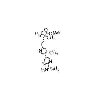 COC(=O)C(C)(C)CCCc1cc(C)c(-c2cnc(C(=N)N)nc2)cn1